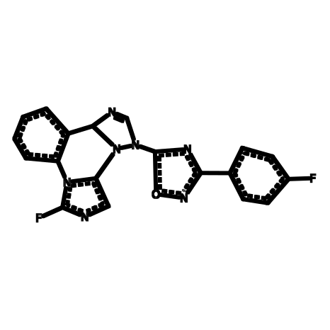 Fc1ccc(-c2noc(N3C=NC4c5ccccc5-n5c(cnc5F)N43)n2)cc1